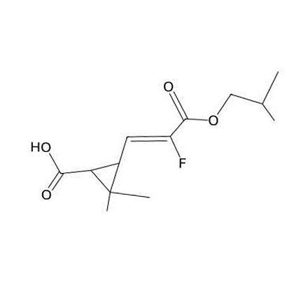 CC(C)COC(=O)C(F)=CC1C(C(=O)O)C1(C)C